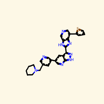 c1csc(-c2cncc3[nH]c(-c4n[nH]c5ncc(-c6cncc(CN7CCCCC7)c6)cc45)nc23)c1